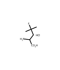 CC(C)(F)CC(N)C(=O)O.Cl